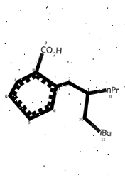 CCCC(Cc1ccccc1C(=O)O)CC(C)CC